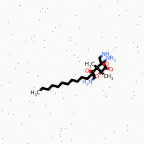 CCCCCCCCCCCCOC(C)(C(=O)CN)C(C)(C(=O)CN)C(=O)CN